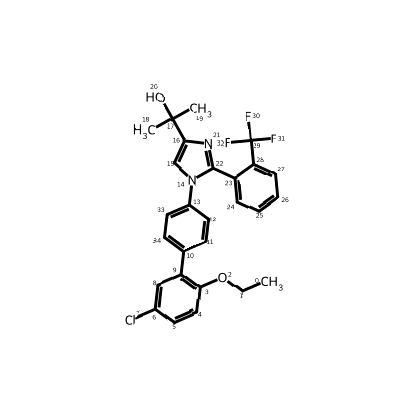 CCOc1ccc(Cl)cc1-c1ccc(-n2cc(C(C)(C)O)nc2-c2ccccc2C(F)(F)F)cc1